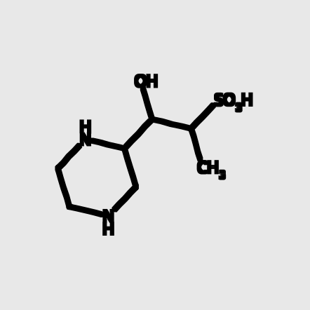 CC(C(O)C1CNCCN1)S(=O)(=O)O